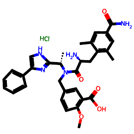 COc1ccc(CN(C(=O)[C@@H](N)Cc2c(C)cc(C(N)=O)cc2C)[C@@H](C)c2nc(-c3ccccc3)c[nH]2)cc1C(=O)O.Cl